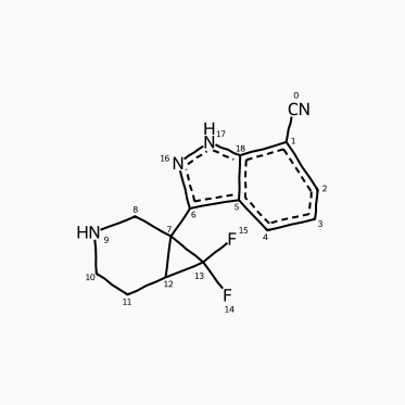 N#Cc1cccc2c(C34CNCCC3C4(F)F)n[nH]c12